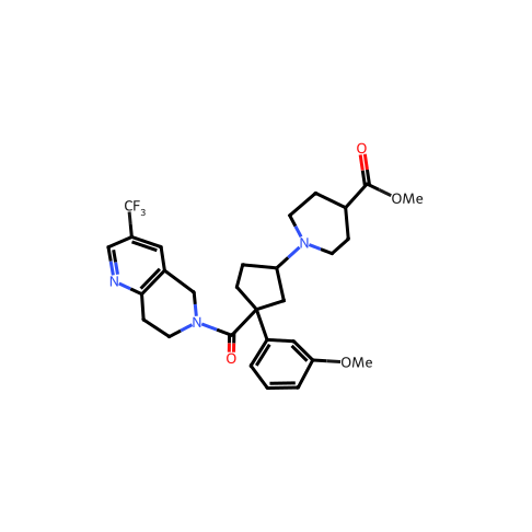 COC(=O)C1CCN(C2CCC(C(=O)N3CCc4ncc(C(F)(F)F)cc4C3)(c3cccc(OC)c3)C2)CC1